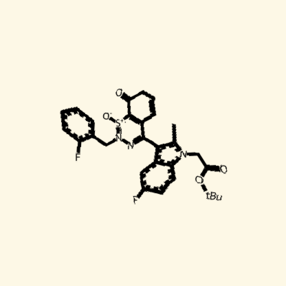 Cc1c(C2=NN(Cc3ccccc3F)[SH+]([O-])C3=C2C=CCC3=O)c2cc(F)ccc2n1CC(=O)OC(C)(C)C